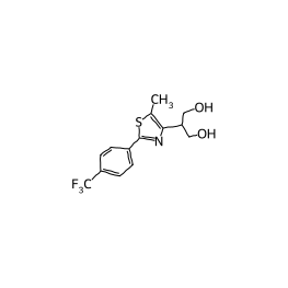 Cc1sc(-c2ccc(C(F)(F)F)cc2)nc1C(CO)CO